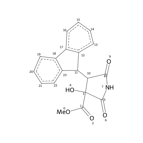 COC(=O)C1(O)C(=O)NC(=O)C1C1c2ccccc2-c2ccccc21